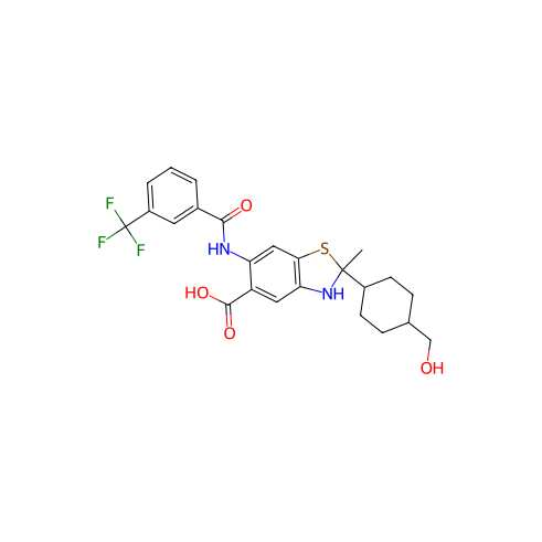 CC1(C2CCC(CO)CC2)Nc2cc(C(=O)O)c(NC(=O)c3cccc(C(F)(F)F)c3)cc2S1